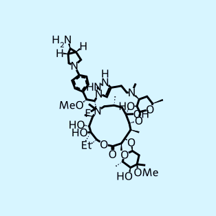 CC[C@H]1OC(=O)[C@H](C)[C@@H](O[C@H]2C[C@@](C)(OC)[C@@H](O)[C@H](C)O2)[C@H](C)[C@@H](O[C@@H]2O[C@H](C)C[C@H](N(C)CCC3=CN([C@H](CF)[C@H](OC)c4ccc(N5C[C@@H]6[C@@H](N)[C@@H]6C5)cc4)NN3)[C@H]2O)[C@](C)(O)C[C@@H](C)CN(C)[C@H](C)[C@@H](O)[C@]1(C)O